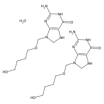 Nc1nc2c(c(=O)[nH]1)NCN2COCCCCO.Nc1nc2c(c(=O)[nH]1)NCN2COCCCCO.O